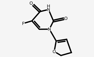 O=c1[nH]c(=O)n(C2=CCCO2)cc1F